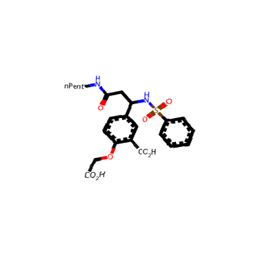 CCCCCNC(=O)CC(NS(=O)(=O)c1ccccc1)c1ccc(OCC(=O)O)c(C(=O)O)c1